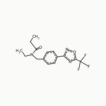 CCC(=O)N(CC)Cc1ccc(-c2noc(C(F)(F)F)n2)cc1